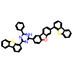 c1ccc(C2N=C(c3cccc4c3sc3ccccc34)N=C(c3ccc4oc5cc(-c6cccc7c6sc6ccccc67)ccc5c4c3)N2)cc1